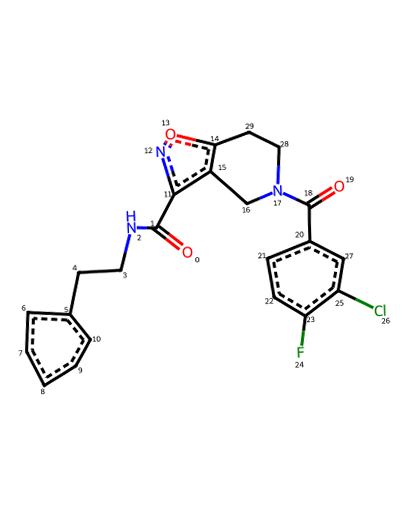 O=C(NCCc1ccccc1)c1noc2c1CN(C(=O)c1ccc(F)c(Cl)c1)CC2